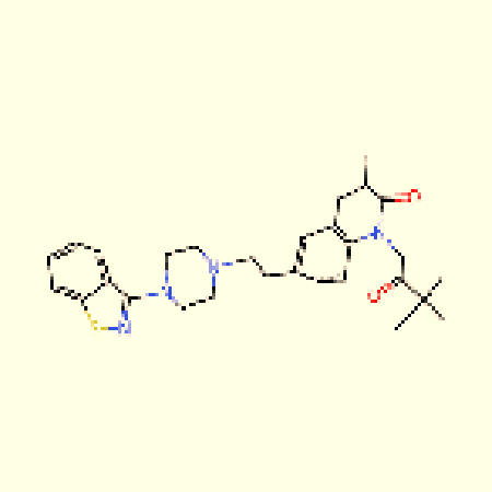 CC1Cc2cc(CCN3CCN(c4nsc5ccccc45)CC3)ccc2N(CC(=O)C(C)(C)C)C1=O